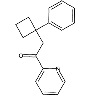 O=C(CC1(c2ccccc2)CCC1)c1ccccn1